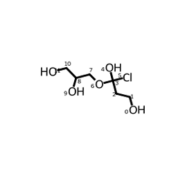 OCCC(O)(Cl)OCC(O)CO